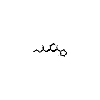 CCOC(=O)C=C1C=COC(N2CCCN2)=C1